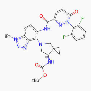 CC(C)n1nnc2c(N3C[C@H](NC(=O)OC(C)(C)C)C4(CC4)C3)c(NC(=O)c3ccc(=O)n(-c4c(F)cccc4F)n3)ccc21